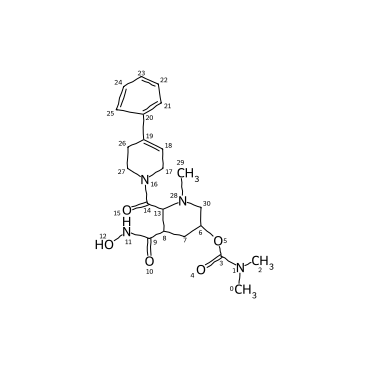 CN(C)C(=O)OC1CC(C(=O)NO)C(C(=O)N2CC=C(c3ccccc3)CC2)N(C)C1